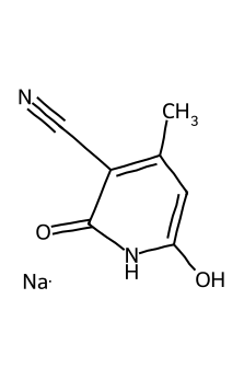 Cc1cc(O)[nH]c(=O)c1C#N.[Na]